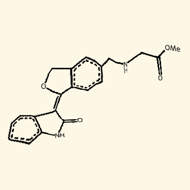 COC(=O)CNCc1ccc2c(c1)COC2=C1C(=O)Nc2ccccc21